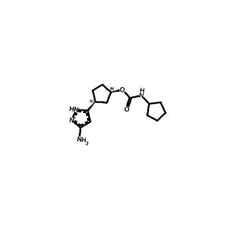 Nc1cc([C@H]2CC[C@@H](OC(=O)NC3CCCC3)C2)[nH]n1